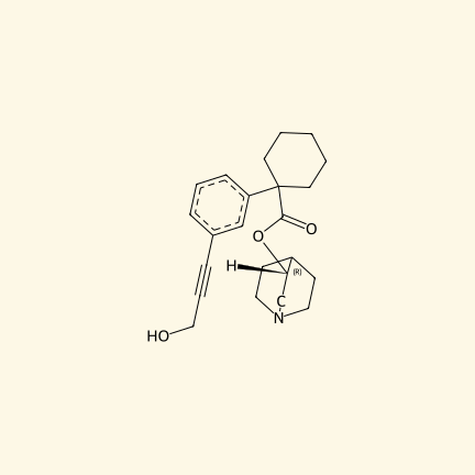 O=C(O[C@H]1CN2CCC1CC2)C1(c2cccc(C#CCO)c2)CCCCC1